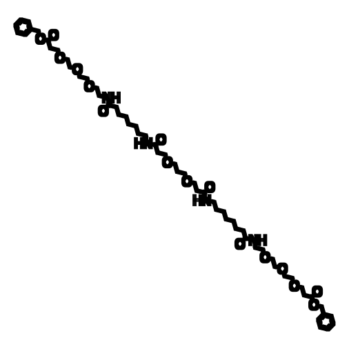 O=C(CCCCCCCNC(=O)CCOCCCOCCC(=O)NCCCCCCCC(=O)NCCOCCOCCOCCC(=O)OCc1ccccc1)NCCOCCOCCOCCC(=O)OCc1ccccc1